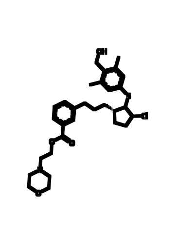 Cc1cc(SC2C(Cl)CC[C@@H]2CCCc2cccc(C(=O)OCCN3CCOCC3)c2)cc(C)c1CO